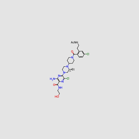 CC[C@H]1CN(c2nc(N)c(C(=O)NCCO)nc2Cl)CCN1C1CCN(C(=O)c2ccc(Cl)cc2CCNC(C)=O)CC1